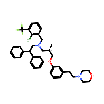 C[C@@H](COc1cccc(CCN2CCOCC2)c1)CN(Cc1cccc(C(F)(F)F)c1Cl)CC(c1ccccc1)c1ccccc1